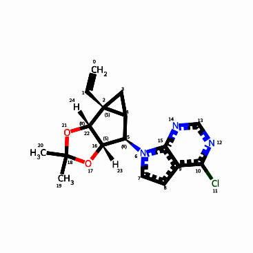 C=C[C@@]12CC1[C@@H](n1ccc3c(Cl)ncnc31)[C@@H]1OC(C)(C)O[C@@H]12